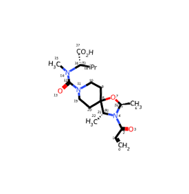 C=CC(=O)N1[C@H](C)OC2(CCN(C(=O)N(C)[C@H](C(=O)O)C(C)C)CC2)[C@H]1C